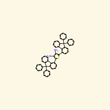 Nc1c(-c2cccc3c2-c2ccccc2C3(c2ccccc2)c2ccccc2)sc(-c2cccc3c2-c2ccccc2C3(c2ccccc2)c2ccccc2)c1N